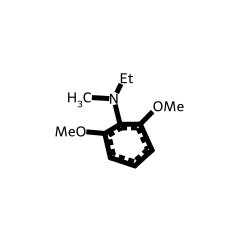 CCN(C)c1c(OC)cccc1OC